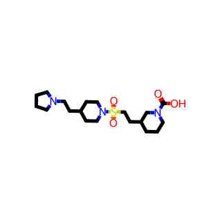 O=C(O)N1CCCC(CCS(=O)(=O)N2CCC(CCN3CCCC3)CC2)C1